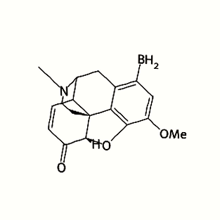 Bc1cc(OC)c2c3c1CC1C4C=CC(=O)[C@@H](O2)[C@@]34CCN1C